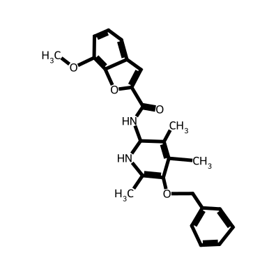 COc1cccc2cc(C(=O)NC3NC(C)=C(OCc4ccccc4)C(C)=C3C)oc12